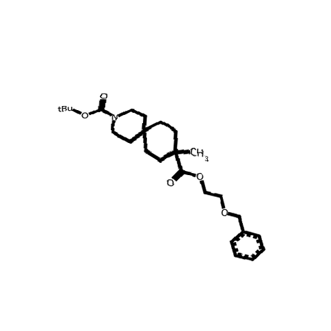 CC(C)(C)OC(=O)N1CCC2(CC1)CCC(C)(C(=O)OCCOCc1ccccc1)CC2